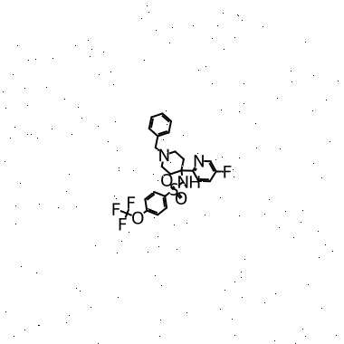 O=S(=O)(NC1(c2ccc(F)cn2)CCN(Cc2ccccc2)CC1)c1ccc(OC(F)(F)F)cc1